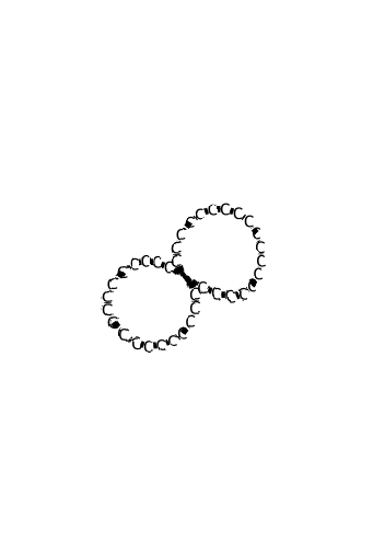 c1cccccccccc2ccccccccccccccccccc-2cccccccc1